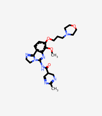 COc1c(OCCCN2CCOCC2)ccc2c1N=C(NC(=O)C1C=NC(C)=NC1)N1CCN=C21